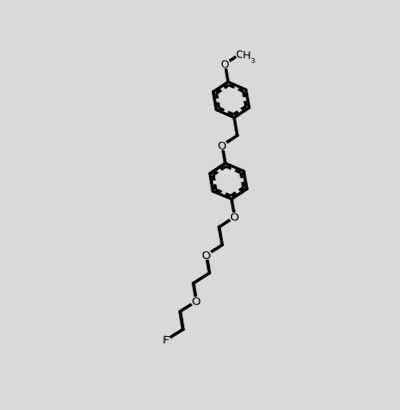 COc1ccc(COc2ccc(OCCOCCOCCF)cc2)cc1